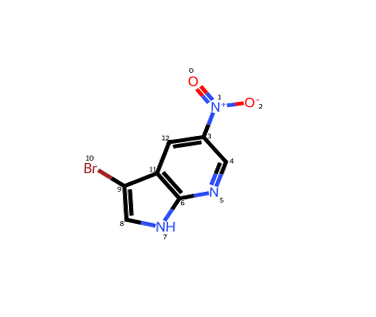 O=[N+]([O-])c1cnc2[nH]cc(Br)c2c1